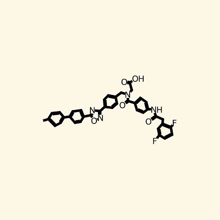 Cc1ccc(-c2ccc(-c3nc(-c4ccc(CN(CC(=O)O)C(=O)c5ccc(NC(=O)Cc6cc(F)ccc6F)cc5)cc4)no3)cc2)cc1